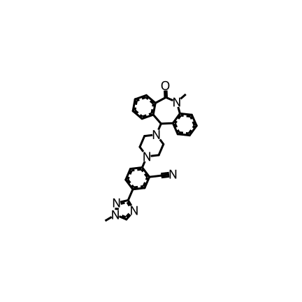 CN1C(=O)c2ccccc2C(N2CCN(c3ccc(-c4ncn(C)n4)cc3C#N)CC2)c2ccccc21